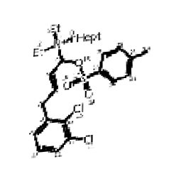 CCCCCCC[N+](CC)(CC)C(C=CCc1cccc(Cl)c1Cl)OS(=O)(=O)c1ccc(C)cc1